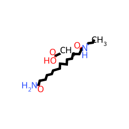 CCC(=O)O.CCCNC(=O)CCCCCCCCCCCCC(N)=O